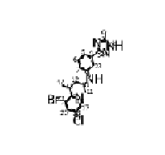 Cc1nc(-c2cccc(NC(C)CC(C)c3ncc(Cl)cc3Br)c2)n[nH]1